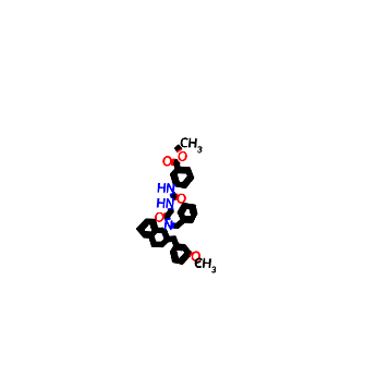 CCOC(=O)c1cccc(NC(=O)NCC(=O)N(Cc2ccccc2)C2c3ccccc3CCC2Cc2cccc(OC)c2)c1